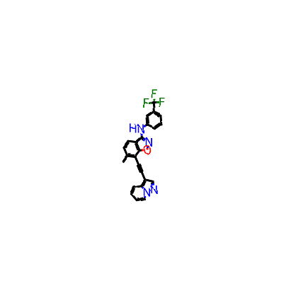 Cc1ccc2c(Nc3cccc(C(F)(F)F)c3)noc2c1C#Cc1cnn2ccccc12